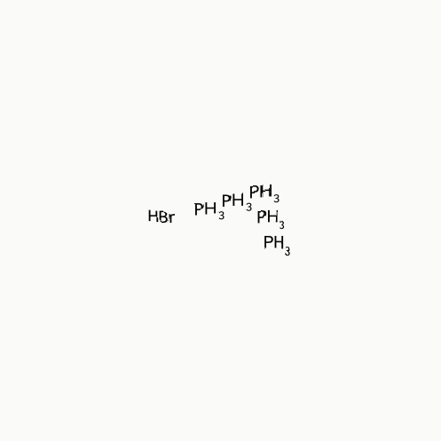 Br.P.P.P.P.P